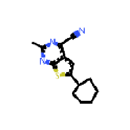 Cc1nc(C#N)c2cc(C3CCCCC3)sc2n1